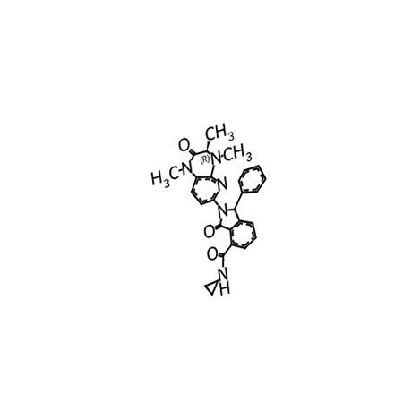 C[C@@H]1C(=O)N(C)c2ccc(N3C(=O)c4c(C(=O)NC5CC5)cccc4C3c3ccccc3)nc2N1C